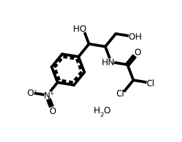 O.O=C(NC(CO)C(O)c1ccc([N+](=O)[O-])cc1)C(Cl)Cl